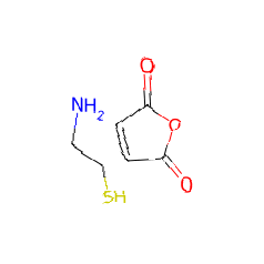 NCCS.O=C1C=CC(=O)O1